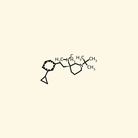 CN(C)[C@@]1(CCc2cccc(C3CC3)c2)CCCN(C(C)(C)C)C1